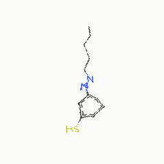 CCCCCN=Nc1cccc(S)c1